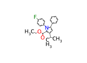 CCOC(=O)c1c(C(C)C)cc(-c2ccccc2)n1-c1ccc(F)cc1